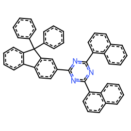 c1ccc(C2(c3ccccc3)c3ccccc3-c3ccc(-c4nc(-c5cccc6ccccc56)nc(-c5cccc6ccccc56)n4)cc32)cc1